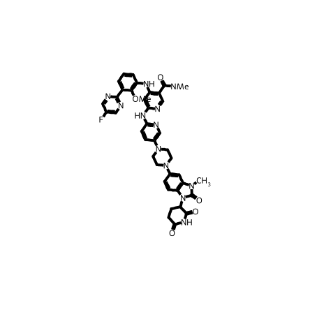 CNC(=O)c1cnc(Nc2ccc(N3CCN(c4ccc5c(c4)n(C)c(=O)n5C4CCC(=O)NC4=O)CC3)cn2)cc1Nc1cccc(-c2ncc(F)cn2)c1OC